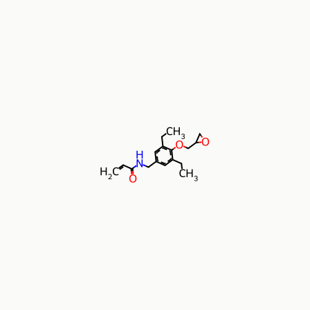 C=CC(=O)NCc1cc(CC)c(OCC2CO2)c(CC)c1